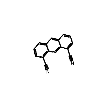 N#Cc1cccc2cc3cccc(C#N)c3cc12